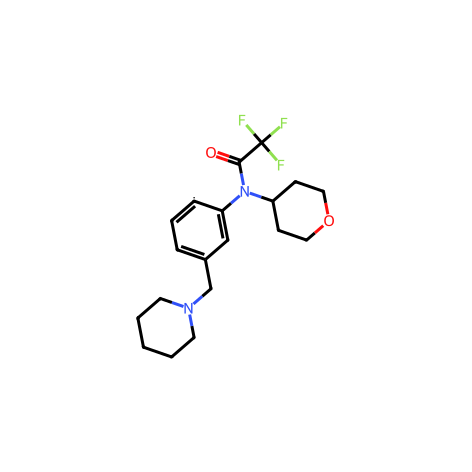 O=C(N(c1[c]ccc(CN2CCCCC2)c1)C1CCOCC1)C(F)(F)F